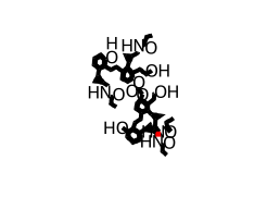 CCC(=O)NCC1CC1c1cccc(O)c1CCc1ccc(OC(=O)Oc2ccc(CCc3c(O)cccc3C3CC3CNC(=O)CC)c(C3CC3CNC(=O)CC)c2CCO)c(CCO)c1C1CC1CNC(=O)CC